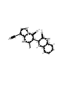 Cc1[nH]c2c(C#N)cnn2c(=O)c1-c1nc2ccccc2[nH]c1=O